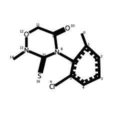 Cc1cccc(Cl)c1N1C(=O)CON(C)C1=S